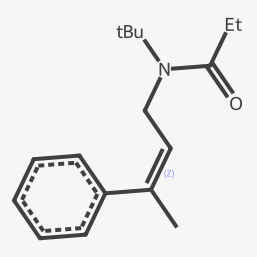 CCC(=O)N(C/C=C(/C)c1ccccc1)C(C)(C)C